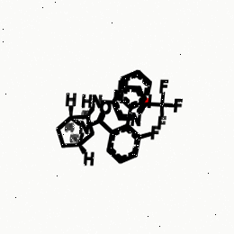 O=C(c1cccc(F)c1-c1ncccn1)N1[C@H]2CC[C@@H]1[C@@H](Nc1cnc(C(F)(F)F)cn1)C2